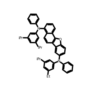 CCc1cc(C(C)C)cc(N(c2ccccc2)c2ccc3oc4c5cccc(N(c6ccccc6)c6cc(C(C)C)cc(C(C)C)c6)c5ccc4c3c2)c1